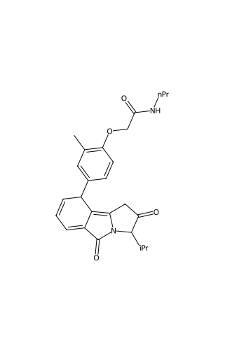 CCCNC(=O)COc1ccc(C2C=CC=C3C(=O)N4C(=C32)CC(=O)C4C(C)C)cc1C